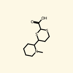 CN1CCCCC1C1CCSC(C(=O)O)S1